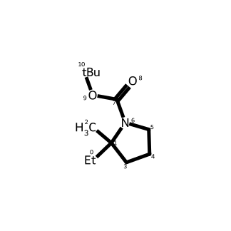 CCC1(C)CCCN1C(=O)OC(C)(C)C